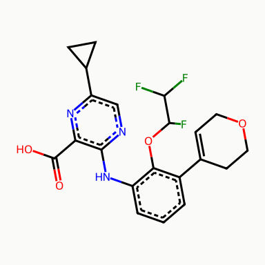 O=C(O)c1nc(C2CC2)cnc1Nc1cccc(C2=CCOCC2)c1OC(F)C(F)F